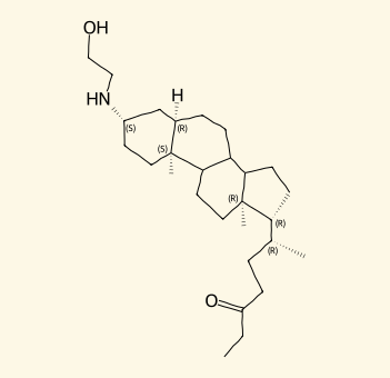 CCC(=O)CC[C@@H](C)[C@H]1CCC2C3CC[C@@H]4C[C@@H](NCCO)CC[C@]4(C)C3CC[C@@]21C